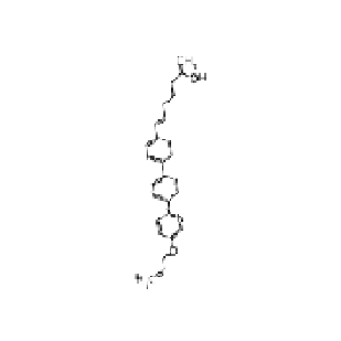 C=CCOc1ccc(-c2ccc(-c3ccc(/C=C/CCCC(C)O)cc3)cc2)nc1